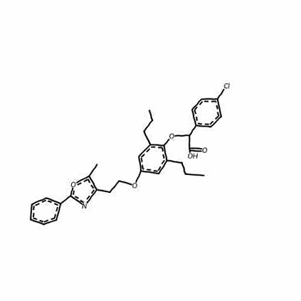 CCCc1cc(OCCc2nc(-c3ccccc3)oc2C)cc(CCC)c1OC(C(=O)O)c1ccc(Cl)cc1